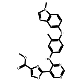 COC(=O)c1coc(-c2cncnc2Nc2ccc(Oc3ccc4c(c3)ncn4C)c(C)c2)n1